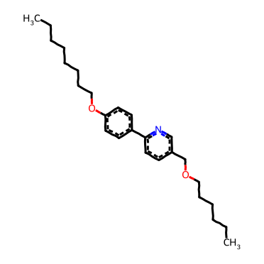 CCCCCCCCOc1ccc(-c2ccc(COCCCCCC)cn2)cc1